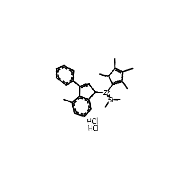 CC1=C(C)C(C)[C]([Zr]([CH]2C=C(c3ccccc3)c3c(C)cccc32)=[Si](C)C)=C1C.Cl.Cl